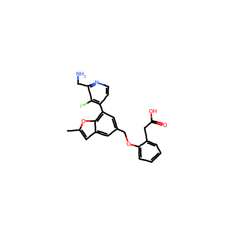 Cc1cc2cc(COc3ccccc3CC(=O)O)cc(-c3ccnc(CN)c3F)c2o1